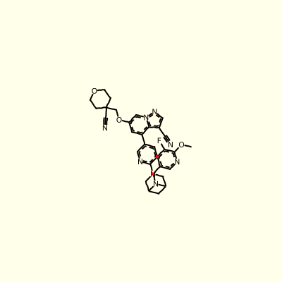 COc1ncc(CN2C3CC2CN(c2ccc(-c4cc(OCC5(C#N)CCOCC5)cn5ncc(C#N)c45)cn2)C3)cc1F